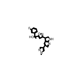 Cn1cc(-c2cnc3c(c2)C(c2cc(C(C)(O)c4cccc(F)c4)on2)CN3)cn1